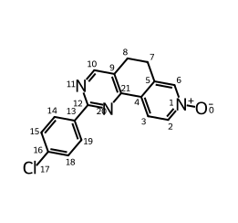 [O-][n+]1ccc2c(c1)CCc1cnc(-c3ccc(Cl)cc3)nc1-2